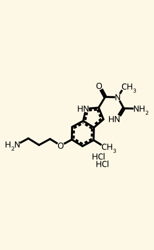 Cc1cc(OCCCN)cc2[nH]c(C(=O)N(C)C(=N)N)cc12.Cl.Cl